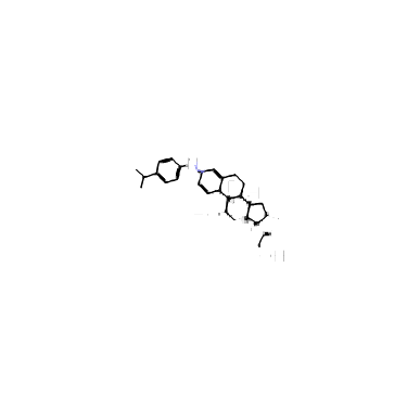 CC(C)c1ccc(/N=C2\C=C[C@@]3(C)C(=C2)CC[C@H]2[C@@H]4C[C@@H](C)[C@@]5(C(=O)CO)O[C@]45C[C@H](O)[C@@]23F)cc1